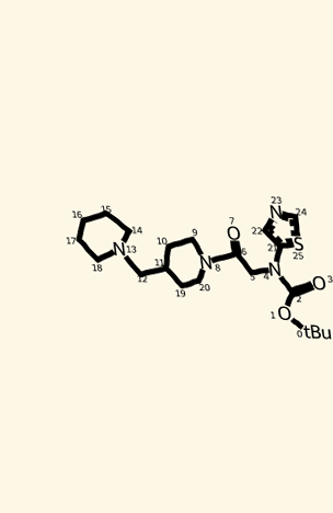 CC(C)(C)OC(=O)N(CC(=O)N1CCC(CN2CCCCC2)CC1)c1cncs1